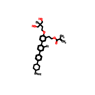 C=C(C)C(=O)OCCc1cc(-c2ccc(-c3ccc(C4CCC(CCCCC)CC4)cc3)cc2CC)ccc1OCCC(CC)(CO)CO